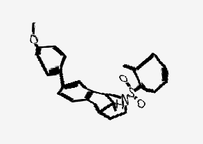 COc1ccc(-c2ccc3c(c2)C2[C@@H](C)C3CCN2S(=O)(=O)c2ccccc2C)cc1